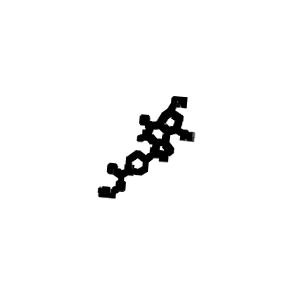 CC(=O)c1cc(C#N)cc2c(=O)n(C)c3c(cnn3C3CCN(C(=O)OC(C)(C)C)CC3)c12